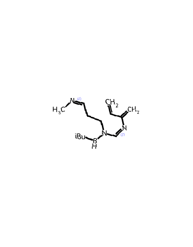 C=CC(=C)/N=C\N(BC(C)CC)CC/C=N\C